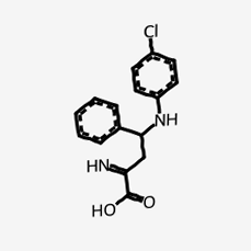 N=C(CC(Nc1ccc(Cl)cc1)c1ccccc1)C(=O)O